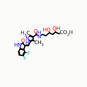 Cc1[nH]c(/C=C2\C(=O)Nc3ccc(F)c(F)c32)c(C)c1C(=O)NCC[C@@H](O)C[C@@H](O)CC(=O)O